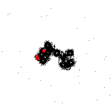 c1ccc(-c2nc(-c3ccc(-c4nc5ccccc5c5cc6c(cc45)Sc4ccccc4C64c5ccccc5-c5ccccc54)cc3)nc(-c3cccc4oc5ccccc5c34)n2)cc1